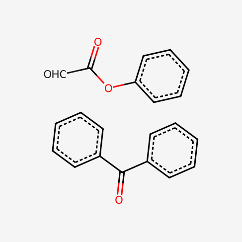 O=C(c1ccccc1)c1ccccc1.O=CC(=O)Oc1ccccc1